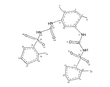 Cc1cc(C)c(NC(=O)NS(=O)(=O)c2ccccc2C)cc1NC(=O)NS(=O)(=O)c1ccccc1C